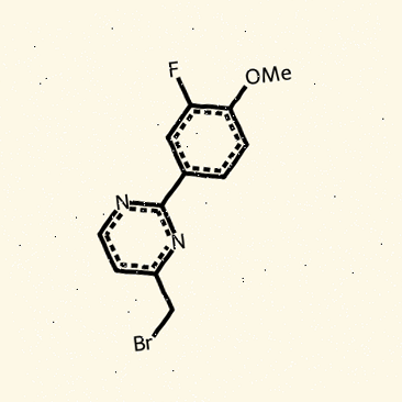 COc1ccc(-c2nccc(CBr)n2)cc1F